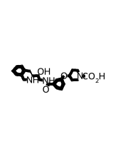 O=C(NC[C@@H](O)[C@@H]1Cc2ccccc2CN1)c1cccc(OC2CCN(C(=O)O)CC2)c1